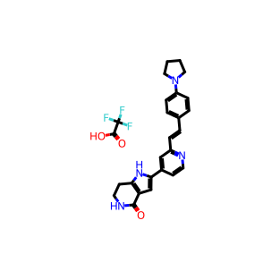 O=C(O)C(F)(F)F.O=C1NCCc2[nH]c(-c3ccnc(C=Cc4ccc(N5CCCC5)cc4)c3)cc21